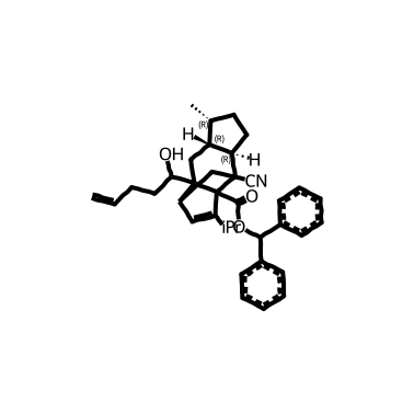 C=CCCC(O)C12C[C@@H]3[C@H](C)CC[C@H]3C3(C#N)CC1C=C(C(C)C)C23C(=O)OC(c1ccccc1)c1ccccc1